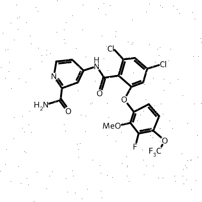 COc1c(Oc2cc(Cl)cc(Cl)c2C(=O)Nc2ccnc(C(N)=O)c2)ccc(OC(F)(F)F)c1F